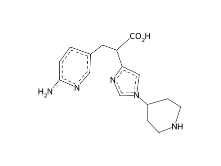 Nc1ccc(CC(C(=O)O)c2cn(C3CCNCC3)cn2)cn1